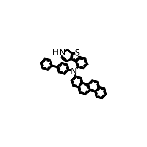 C1=Cc2c(sc3cccc(N(c4ccc(-c5ccccc5)cc4)c4ccc5ccc6c7ccccc7ccc6c5c4)c23)CN1